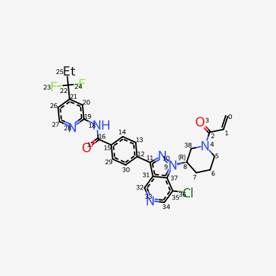 C=CC(=O)N1CCC[C@@H](n2nc(-c3ccc(C(=O)Nc4cc(C(F)(F)CC)ccn4)cc3)c3cncc(Cl)c32)C1